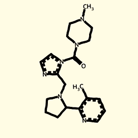 Cc1cccnc1C1CCCN1Cc1nccn1C(=O)N1CCN(C)CC1